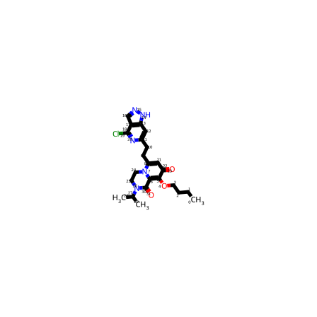 CCCCOc1c2n(c(CCc3cc4[nH]ncc4c(Cl)n3)cc1=O)CCN(C(C)C)C2=O